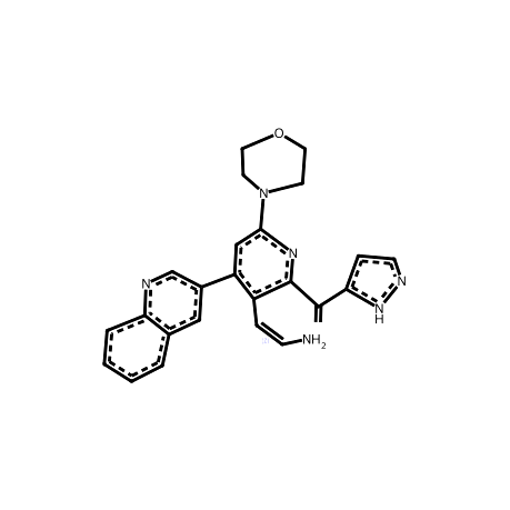 C=C(c1ccn[nH]1)c1nc(N2CCOCC2)cc(-c2cnc3ccccc3c2)c1/C=C\N